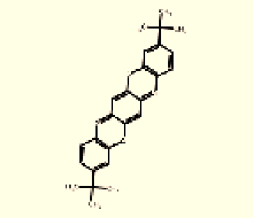 CC(C)(C)c1ccc2c(c1)Sc1cc3c(cc1=N2)Sc1cc(C(C)(C)C)ccc1N=3